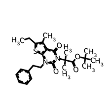 CCc1sc2c(c1C)c(=O)n(C(C)(C)C(=O)OC(C)(C)C)c(=O)n2CCc1ccccc1